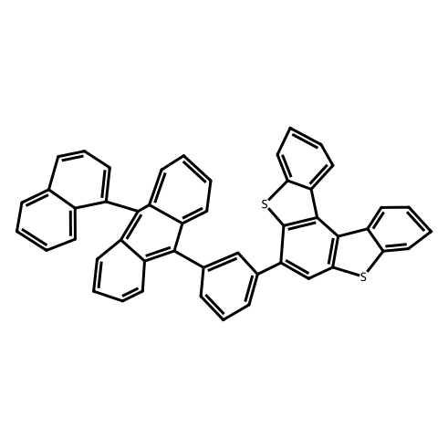 c1cc(-c2c3ccccc3c(-c3cccc4ccccc34)c3ccccc23)cc(-c2cc3sc4ccccc4c3c3c2sc2ccccc23)c1